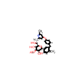 Cc1cc(Oc2ccc(Cc3cc([C@@H]4O[C@H](CO)[C@@H](O)C(O)[C@H]4O)ccc3C)cc2)cc(C)n1